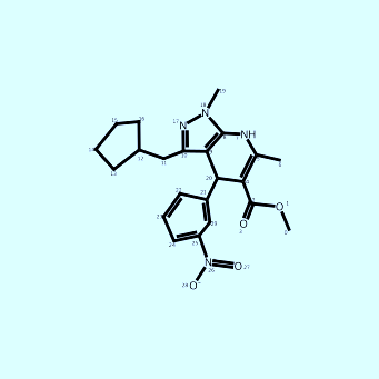 COC(=O)C1=C(C)Nc2c(c(CC3CCCC3)nn2C)C1c1cccc([N+](=O)[O-])c1